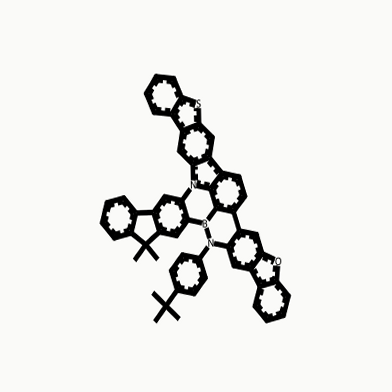 CC(C)(C)c1ccc(N2B3c4cc5c(cc4-n4c6cc7c(cc6c6ccc(c3c64)-c3cc4oc6ccccc6c4cc32)sc2ccccc27)-c2ccccc2C5(C)C)cc1